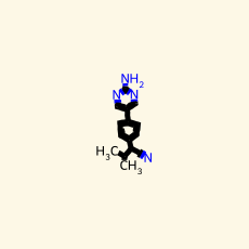 CC(C)C(C#N)c1ccc(-c2cnc(N)nc2)cc1